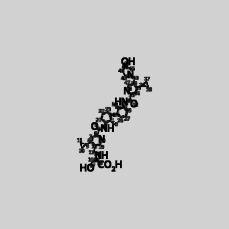 Cc1c(NC(=O)c2cc(C3CC3)c(CN[C@H](CO)C(=O)O)cn2)cccc1-c1cccc(NC(=O)c2cc(C3CC3)c(CN3CC[C@@H](O)C3)cn2)c1C